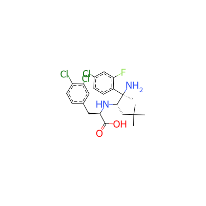 CC(C)(C)C[C@H](N[C@H](Cc1ccc(Cl)c(Cl)c1)C(=O)O)[C@](C)(N)c1ccc(Cl)cc1F